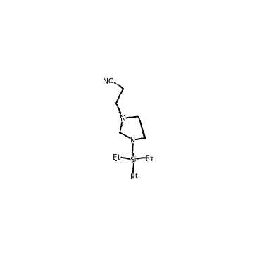 CC[Si](CC)(CC)N1CCN(CCC#N)C1